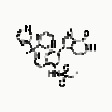 CCS(=O)(=O)Nc1cc(-c2cn(C)c3c(=O)[nH]ccc23)cc2c1ccn2C(C)(c1cnccn1)c1cnccn1